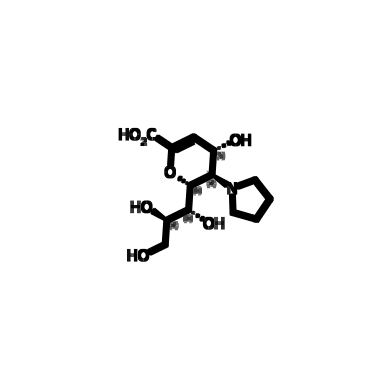 O=C(O)C1=C[C@H](O)[C@@H](N2CCCC2)[C@H]([C@H](O)[C@H](O)CO)O1